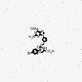 COc1nc(N)nc2c1ncn2[C@H]1C=C[C@@H](COP(=O)(NC(CC(=O)O)C(=O)O)Oc2ccc(Br)cc2)C1